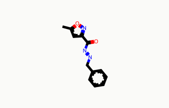 Cc1cc(C(=O)N=NCc2ccccc2)no1